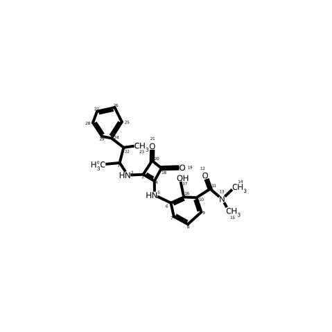 CC(Nc1c(Nc2cccc(C(=O)N(C)C)c2O)c(=O)c1=O)C(C)c1ccccc1